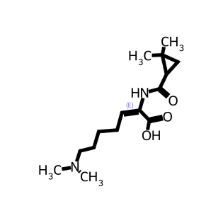 CN(C)CCCC/C=C(/NC(=O)C1CC1(C)C)C(=O)O